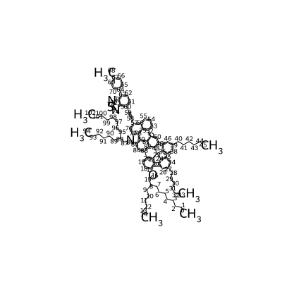 CCCCCCCCC(CCCCCC)COc1ccc2c(c1)C(c1ccc(CCCCCC)cc1)(c1ccc(CCCCCC)cc1)c1ccc3c4cccc5c(C#Cc6ccc(-c7ccc(C)cc7)c7nsnc67)cc6c(c54)c4c3c1c-2cc4n6CC(CCCCCC)CCCCCCCC